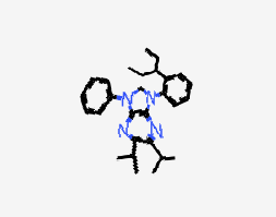 CCC(CC)c1ccccc1N1CN(c2ccccc2)c2nc(C(C)C)c(C(C)C)nc21